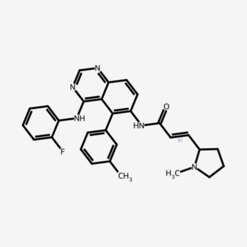 Cc1cccc(-c2c(NC(=O)/C=C/C3CCCN3C)ccc3ncnc(Nc4ccccc4F)c23)c1